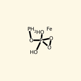 OP1(O)(OP)OO1.[Fe]